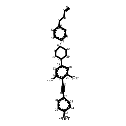 C=CCCc1ccc([C@H]2CC[C@H](c3cc(F)c(C#Cc4ccc(CCC)cc4)c(F)c3)CC2)cc1